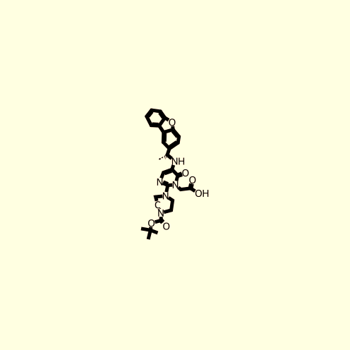 C[C@@H](Nc1cnc(N2CCN(C(=O)OC(C)(C)C)CC2)n(CC(=O)O)c1=O)c1ccc2oc3ccccc3c2c1